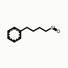 O=[S+]CCCCc1ccccc1